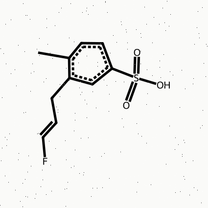 Cc1ccc(S(=O)(=O)O)cc1CC=CF